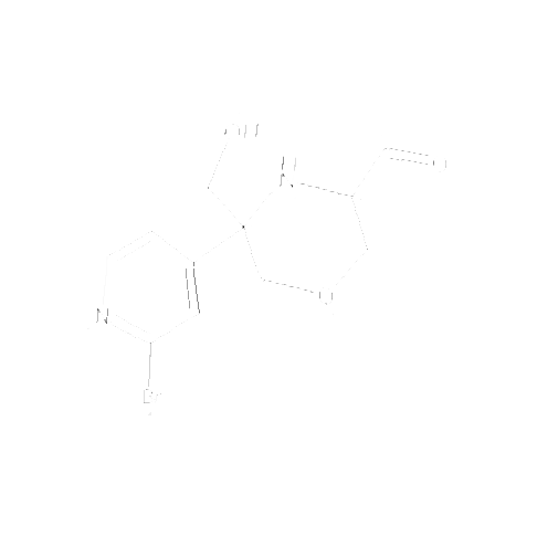 O=CC1COCC(CO)(c2ccnc(Br)c2)N1